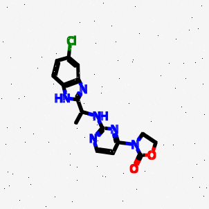 CC(Nc1nccc(N2CCOC2=O)n1)c1nc2cc(Cl)ccc2[nH]1